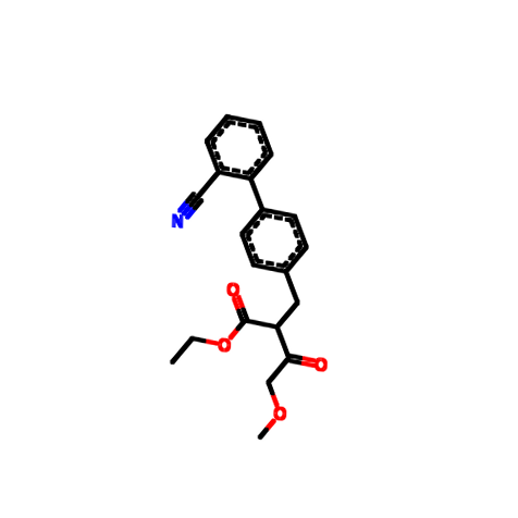 CCOC(=O)C(Cc1ccc(-c2ccccc2C#N)cc1)C(=O)COC